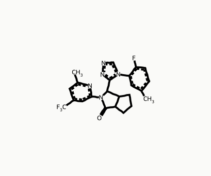 Cc1ccc(F)c(-n2cnnc2C2C3CCCC3C(=O)N2c2cc(C(F)(F)F)cc(C)n2)c1